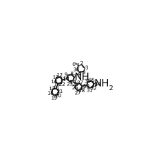 CC1C=CC=C(Nc2ccc(-c3cccc(-c4ccccc4)c3)cc2-c2cccc(-c3ccc(N)cc3)c2)C1